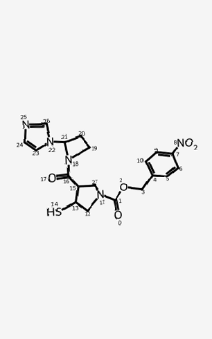 O=C(OCc1ccc([N+](=O)[O-])cc1)N1CC(S)C(C(=O)N2CCC2n2ccnc2)C1